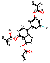 C=CC(=O)OC1CCc2c(-c3cc(F)cc(OC(=O)C(=C)C)c3)ccc(OC(=O)C(=C)C)c21